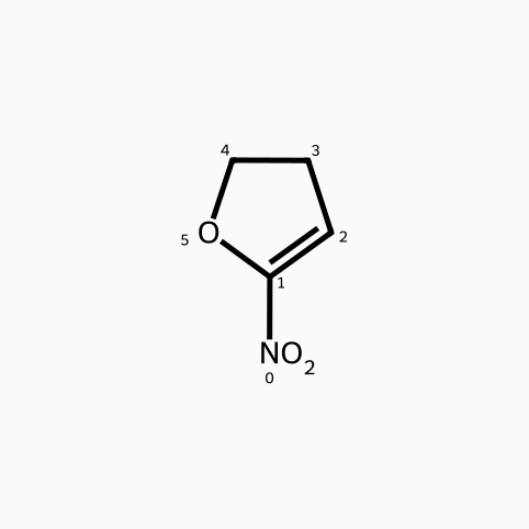 O=[N+]([O-])C1=CCCO1